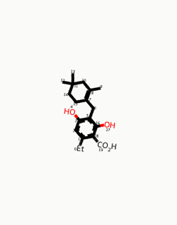 CCc1cc(O)c(CC2=C(C)CC(C)(C)CC2)c(O)c1C(=O)O